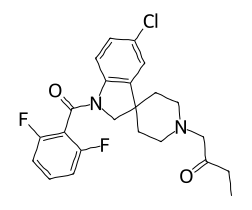 CCC(=O)CN1CCC2(CC1)CN(C(=O)c1c(F)cccc1F)c1ccc(Cl)cc12